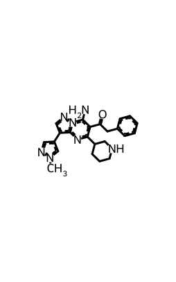 Cn1cc(-c2cnn3c(N)c(C(=O)Cc4ccccc4)c(C4CCCNC4)nc23)cn1